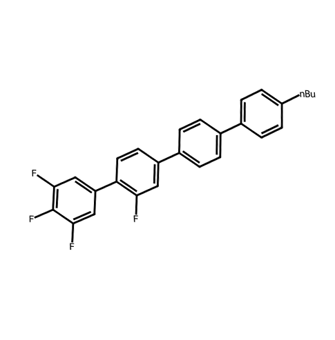 CCCCc1ccc(-c2ccc(-c3ccc(-c4cc(F)c(F)c(F)c4)c(F)c3)cc2)cc1